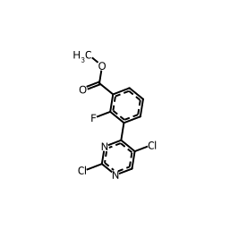 COC(=O)c1cccc(-c2nc(Cl)ncc2Cl)c1F